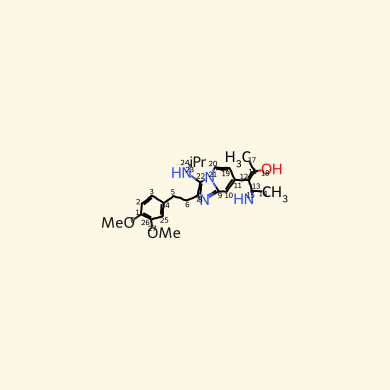 COc1ccc(CCc2nc3cc(/C(C(C)=N)=C(\C)O)ccn3c2NC(C)C)cc1OC